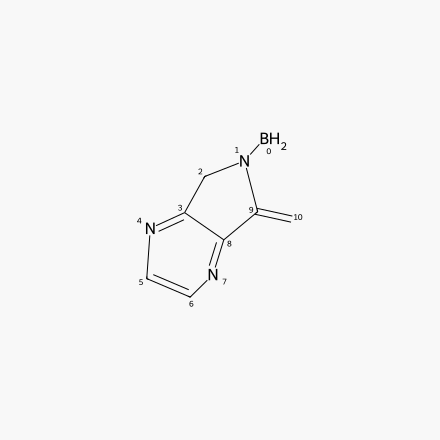 BN1Cc2nccnc2C1=C